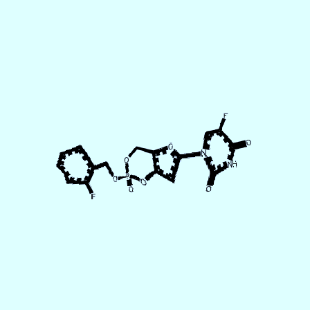 O=c1[nH]c(=O)n(-c2cc3c(o2)CO[P@](=O)(OCc2ccccc2F)O3)cc1F